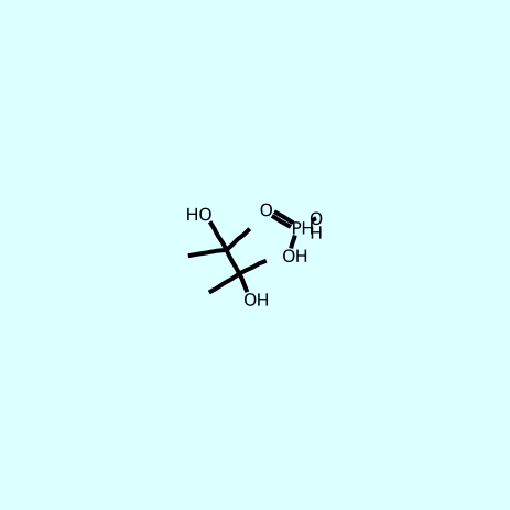 CC(C)(O)C(C)(C)O.O=[PH](O)O